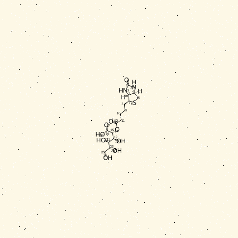 O=C1N[C@H]2[C@H](CS[C@H]2CCCCC(=O)O[C@@H](C(=O)O)[C@@H](O)[C@H](O)[C@H](O)CO)N1